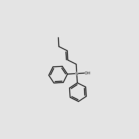 CC/C=C/C[Si](O)(c1ccccc1)c1ccccc1